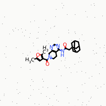 Cc1cc(C(=O)N2CCc3c(ncnc3NC(=O)CC34CC5CC(CC(C5)C3)C4)C2)c(C)o1